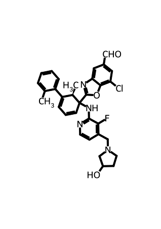 Cc1ccccc1C1=CC=CC(Nc2nccc(CN3CCC(O)C3)c2F)(c2nc3cc(C=O)cc(Cl)c3o2)[C@@H]1C